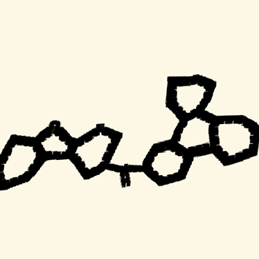 c1ccc2c(c1)oc1ncc(Nc3ccc4c5ccccc5c5ccccc5c4c3)cc12